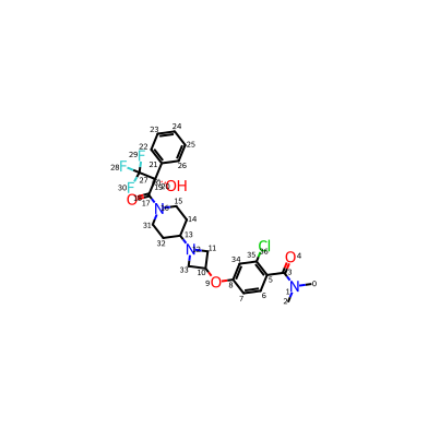 CN(C)C(=O)c1ccc(OC2CN(C3CCN(C(=O)[C@](O)(c4ccccc4)C(F)(F)F)CC3)C2)cc1Cl